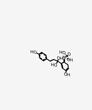 O=P(O)(O)N=C1CC=C(O)C=C1C(O)(O)CCc1ccc(O)cc1